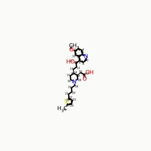 COc1ccc2nccc([C@@H](O)CC[C@@H]3CCN(CCCCc4ccc(C)s4)C[C@@H]3CC(=O)O)c2c1